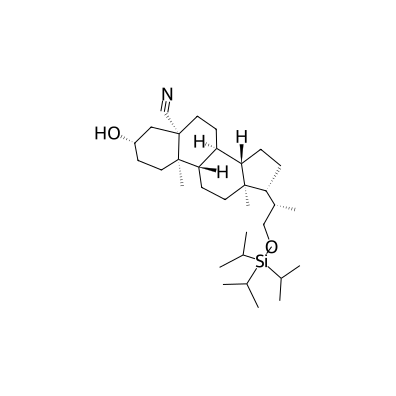 CC(C)[Si](OC[C@@H](C)[C@H]1CC[C@H]2[C@@H]3CC[C@]4(C#N)C[C@@H](O)CC[C@]4(C)[C@H]3CC[C@]12C)(C(C)C)C(C)C